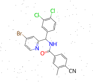 Cc1cc(C(=O)NC(c2ccc(Cl)c(Cl)c2)c2cc(Br)ccn2)ccc1C#N